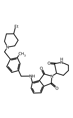 CCC1CCN(Cc2ccc(CNc3cccc4c3C(=O)N(C3CCCNC3=O)C4=O)cc2C)CC1